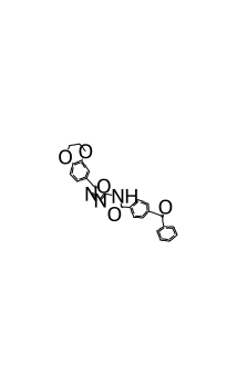 O=C(Nc1nnc(-c2ccc3c(c2)OCCO3)o1)c1ccc(C(=O)c2ccccc2)cc1